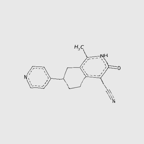 Cc1[nH]c(=O)c(C#N)c2c1CC(c1ccncc1)CC2